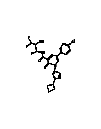 O=C(NC(F)C(O)C(F)F)c1cc(-c2ccc(Cl)cc2)nn(-c2cnn(C3CCC3)c2)c1=O